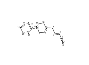 N#CC=CCN1CCN(c2ncccn2)CC1